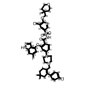 CC1(C)CCC(CN2CCN(c3ccc(C(=O)NS(=O)(=O)c4cnc(OCC5(F)CCOCC5)c(Cl)c4)c(Oc4cc(F)cc5[nH]ncc45)c3)CC2)=C(c2ccc(Cl)cc2)C1